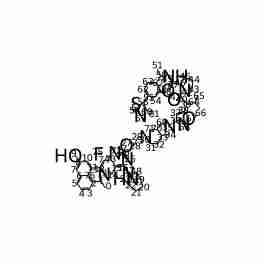 CCc1cccc2cc(O)cc(-c3ncc4c(N5CC6CCC(C5)N6)nc(OCCN5CCC6CN(c7cc(C(C(=O)N8CCCC8C(=O)NC(C)c8ccc(-c9scnc9C)cc8)C(C)C)on7)CC6C5)nc4c3F)c12